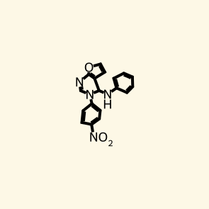 O=[N+]([O-])c1ccc(N2C=Nc3occc3C2Nc2ccccc2)cc1